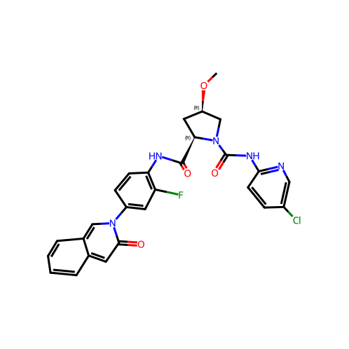 CO[C@@H]1C[C@H](C(=O)Nc2ccc(-n3cc4ccccc4cc3=O)cc2F)N(C(=O)Nc2ccc(Cl)cn2)C1